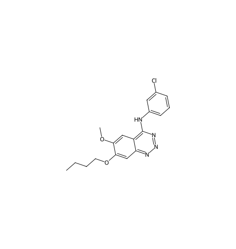 CCCCOc1cc2nnnc(Nc3cccc(Cl)c3)c2cc1OC